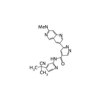 CNc1cc2ncc(-c3cc(C(=O)Nc4cc(C(C)(C)C#N)ccn4)cnn3)cc2cn1